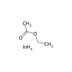 CCOC(C)=O.[InH3]